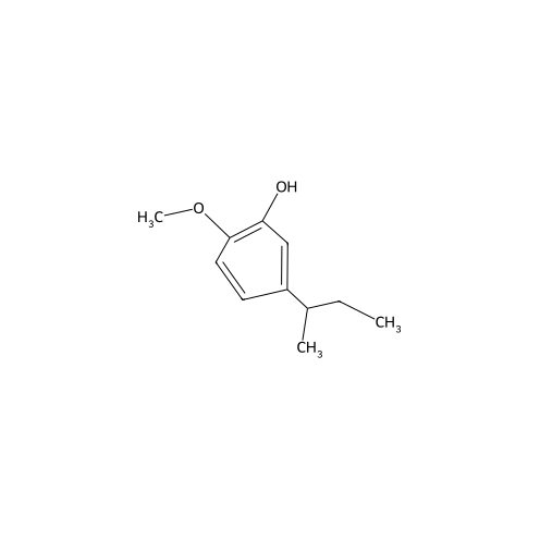 CCC(C)c1ccc(OC)c(O)c1